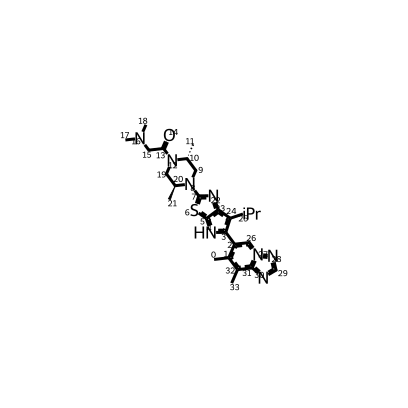 Cc1c(-c2[nH]c3sc(N4C[C@@H](C)N(C(=O)CN(C)C)C[C@@H]4C)nc3c2C(C)C)cn2ncnc2c1C